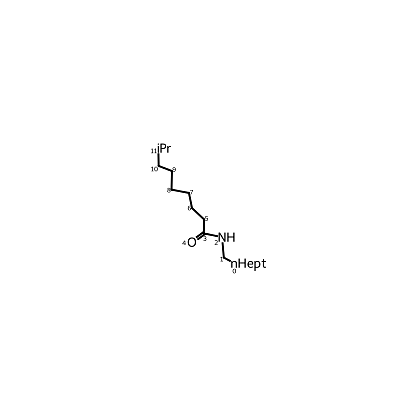 CCCCCCCCNC(=O)CCCCCCC(C)C